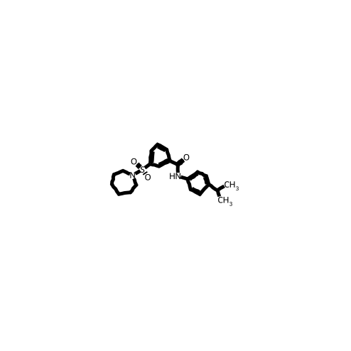 CC(C)c1ccc(NC(=O)c2cccc(S(=O)(=O)N3CCCCCC3)c2)cc1